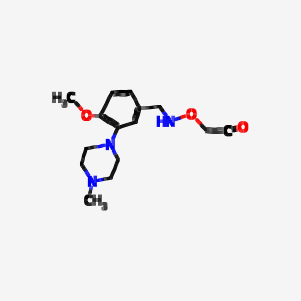 COc1ccc(CNOC=C=O)cc1N1CCN(C)CC1